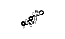 CCC1CCCCN1CCNC(=O)c1ccc2c(=O)n(Cc3ccccc3F)c(=O)[nH]c2c1